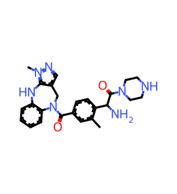 Cc1cc(C(=O)N2Cc3cnn(C)c3Nc3ccccc32)ccc1C(N)C(=O)N1CCNCC1